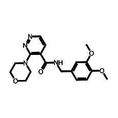 COc1ccc(CNC(=O)c2ccnnc2N2CCOCC2)cc1OC